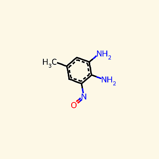 Cc1cc(N)c(N)c(N=O)c1